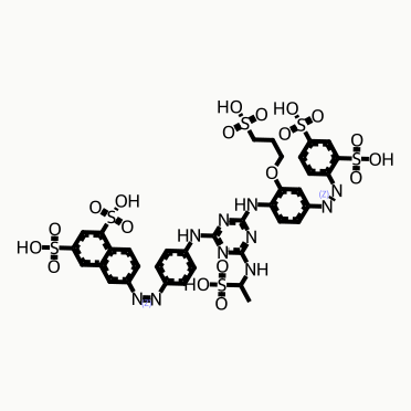 CC(Nc1nc(Nc2ccc(/N=N\c3ccc4c(S(=O)(=O)O)cc(S(=O)(=O)O)cc4c3)cc2)nc(Nc2ccc(/N=N\c3ccc(S(=O)(=O)O)cc3S(=O)(=O)O)cc2OCCCS(=O)(=O)O)n1)S(=O)(=O)O